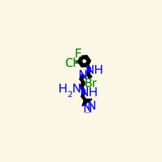 C=C(/N=C\C(Br)=C(/N)NCc1cnn(C)c1)Nc1ccc(F)c(Cl)c1